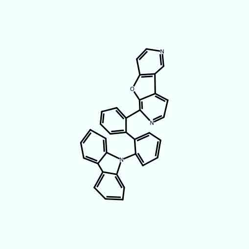 c1ccc(-c2nccc3c2oc2ccncc23)c(-c2ccccc2-n2c3ccccc3c3ccccc32)c1